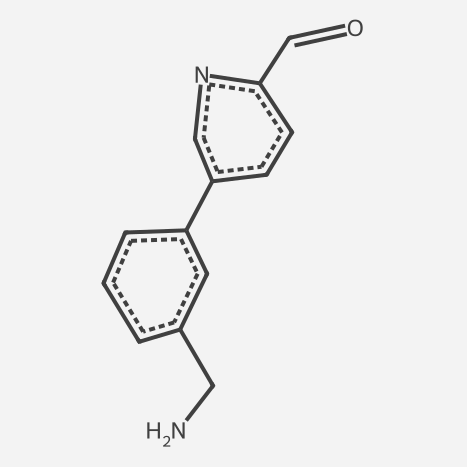 NCc1cccc(-c2ccc(C=O)nc2)c1